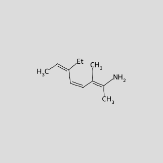 C\C=C(/C=C\C(C)=C(/C)N)CC